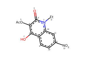 CCn1c(=O)c(OC(C)=O)c(O)c2ccc([N+](=O)[O-])cc21